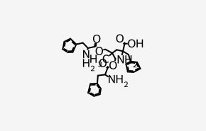 CC(COC(=O)C(N)Cc1ccccc1)(COC(=O)C(N)Cc1ccccc1)CC(N)(Cc1ccccc1)C(=O)O